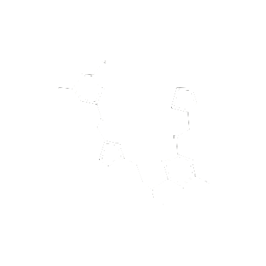 CN(CCc1ccc(CNc2nc(N)nc(N)n2)[nH]1)c1nc(N)nc(NCc2ccsc2)n1